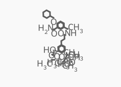 CCC(C)OP(=O)(O)c1cc(CCC(=O)NC(C)c2ccc(OCC3CCCCC3)c(C(N)=O)c2)ccc1OC(C(C)C)(C(C)C)P(=O)(O)O